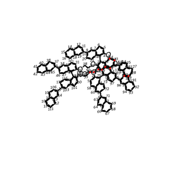 OCCOc1ccc2cc(-c3ccc4ccccc4c3)ccc2c1-c1c(OCCOc2ccc3cc(-c4ccc5ccccc5c4)ccc3c2-c2c(OCCOc3ccc4cc(-c5ccc6ccccc6c5)ccc4c3-c3c(OCCO)ccc4cc(-c5ccc6ccccc6c5)ccc34)ccc3cc(-c4ccc5ccccc5c4)ccc23)ccc2cc(-c3ccc4ccccc4c3)ccc12